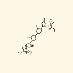 CCC(=O)N1CCC[C@H]1C1NC=C(c2ccc(-c3ccc(C4=CNC([C@@H]5CCCN5C(=O)CC)N4)c(F)c3)cc2F)N1